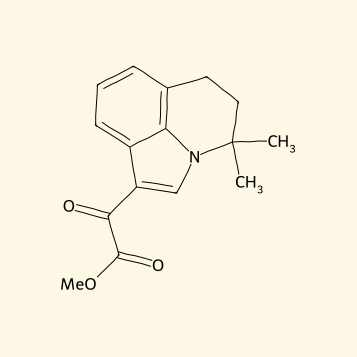 COC(=O)C(=O)c1cn2c3c(cccc13)CCC2(C)C